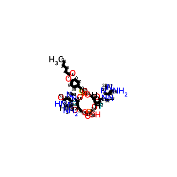 CCCCCC(=O)Oc1ccc(CSP2(=O)OC[C@H]3O[C@@H](n4cnc5c(N)ncnc54)[C@H](F)[C@@H]3OCP(=O)(O)OC[C@@H](OC)[C@@H](F)[C@H](n3cnc4c(=O)[nH]c(N)nc43)O2)cc1